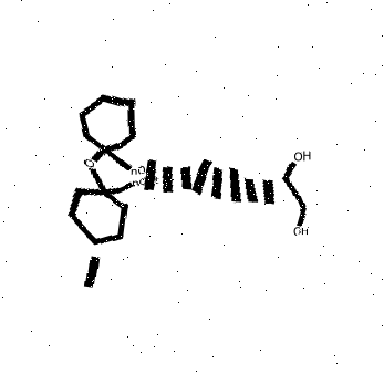 C=C.C=C.C=C.C=C.C=C.C=C.C=C.C=C.C=C.CCCCCCCCC1(OC2(CCCCCCCC)CCCCC2)CCCCC1.OCCO